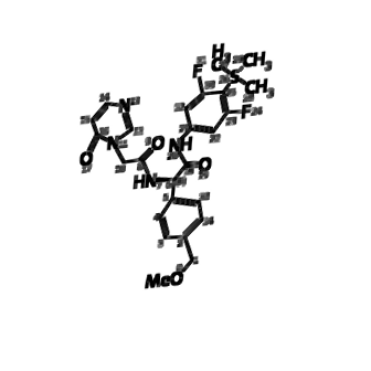 COCc1ccc([C@@H](NC(=O)Cn2cnccc2=O)C(=O)Nc2cc(F)c(S(C)(C)C)c(F)c2)cc1